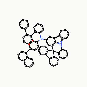 c1ccc(-c2ccccc2-c2ccccc2N(c2ccc(-c3cccc4ccccc34)cc2)c2cc3c4c(c2)c2ccccc2n4-c2ccccc2C32c3ccccc3-c3ccccc32)cc1